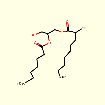 CCCCCCCCCCCCCCCCC(C)C(=O)OCC(CO)OC(=O)CCCCCCCCCCCCCCC